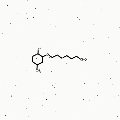 CC1CCC(C(C)C)C(OCCCCCC[C]=O)C1